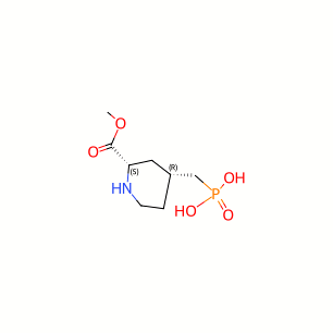 COC(=O)[C@@H]1C[C@H](CP(=O)(O)O)CCN1